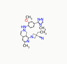 CCC1(C#N)CN(c2nc(C)cc3c2CN(Nc2ccc(-c4nncn4C)cc2OC)C=C3)C1